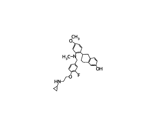 COc1ccc(C2CCc3cc(O)ccc3C2)c(N(C)Cc2ccc(OCCNC3CC3)c(F)c2)c1